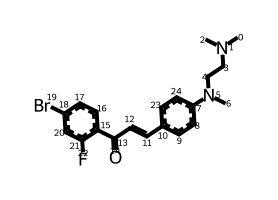 CN(C)CCN(C)c1ccc(C=CC(=O)c2ccc(Br)cc2F)cc1